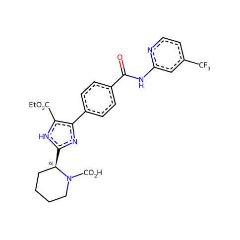 CCOC(=O)c1[nH]c([C@@H]2CCCCN2C(=O)O)nc1-c1ccc(C(=O)Nc2cc(C(F)(F)F)ccn2)cc1